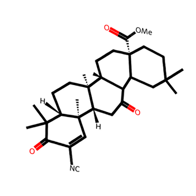 [C-]#[N+]C1=C[C@]2(C)[C@H]3CC(=O)C4C5CC(C)(C)CC[C@]5(C(=O)OC)CC[C@@]4(C)[C@]3(C)CC[C@H]2C(C)(C)C1=O